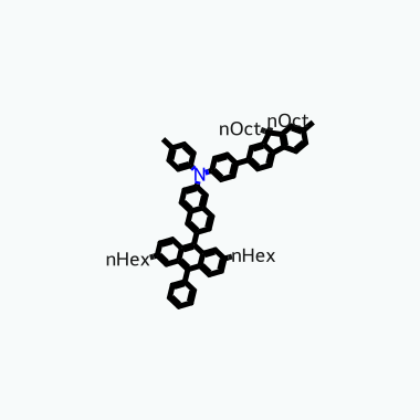 CCCCCCCCC1(CCCCCCCC)c2cc(C)ccc2-c2ccc(-c3ccc(N(c4ccc(C)cc4)c4ccc5cc(-c6c7ccc(CCCCCC)cc7c(-c7ccccc7)c7ccc(CCCCCC)cc67)ccc5c4)cc3)cc21